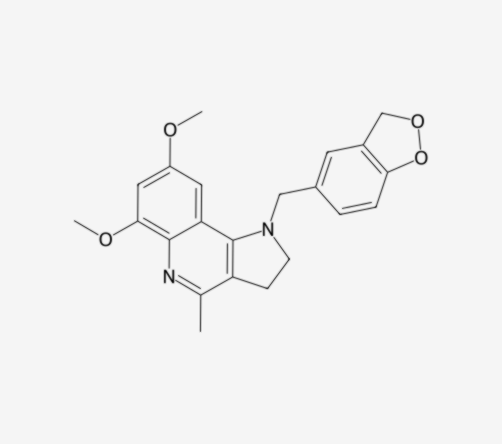 COc1cc(OC)c2nc(C)c3c(c2c1)N(Cc1ccc2c(c1)COO2)CC3